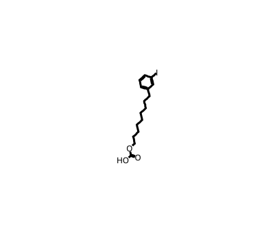 O=C(O)OCCCCCCCCCc1cccc(I)c1